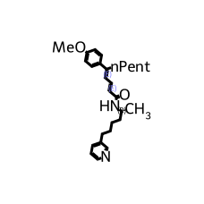 CCCCC/C(=C\C=C\C(=O)N[C@H](C)CCCCc1cccnc1)c1ccc(OC)cc1